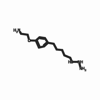 NCCOc1ccc(CCCCCBNN)cc1